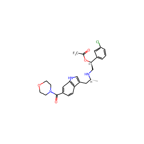 C[C@H](Cc1c[nH]c2cc(C(=O)N3CCOCC3)ccc12)NC[C@@H](OC(=O)C(F)(F)F)c1cccc(Cl)c1